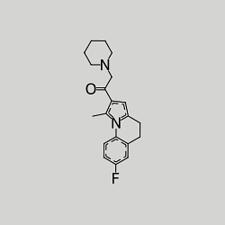 Cc1c(C(=O)CN2CCCCC2)cc2n1-c1ccc(F)cc1CC2